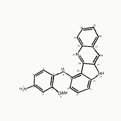 COc1cc(N)ccc1Nc1cccc2[nH]c3cc4ccccc4nc3c12